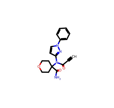 C#CC(=O)N(c1ccn(-c2ccccc2)n1)C1(C(N)=O)CCOCC1